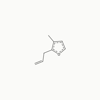 C=CCc1occc1C